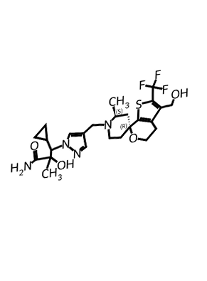 C[C@H]1C[C@@]2(CCN1Cc1cnn(C(C3CC3)C(C)(O)C(N)=O)c1)OCCc1c2sc(C(F)(F)F)c1CO